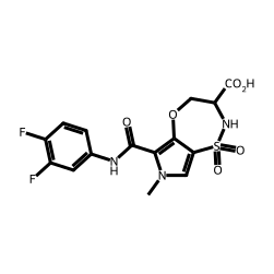 Cn1cc2c(c1C(=O)Nc1ccc(F)c(F)c1)OCC(C(=O)O)NS2(=O)=O